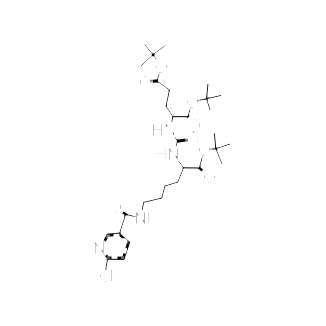 CC(C)(C)OC(=O)CCC(NC(=O)NC(CCCCNC(=O)c1ccc(Cl)nc1)C(=O)OC(C)(C)C)C(=O)OC(C)(C)C